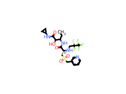 CCC(NC(=O)[C@@H](CS(=O)(=O)Cc1cccnc1)NCC(F)(F)C(F)(F)F)C(O)C(=O)NC1CC1